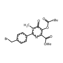 CCCCC(=O)Oc1c(C(=O)OC)nc(-c2ccc(CBr)cc2)n(C)c1=O